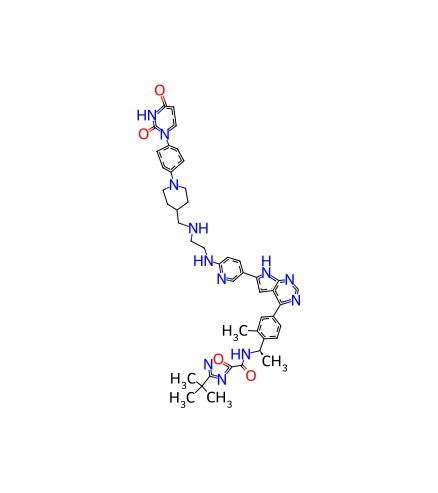 Cc1cc(-c2ncnc3[nH]c(-c4ccc(NCCNCC5CCN(c6ccc(-n7ccc(=O)[nH]c7=O)cc6)CC5)nc4)cc23)ccc1[C@@H](C)NC(=O)c1nc(C(C)(C)C)no1